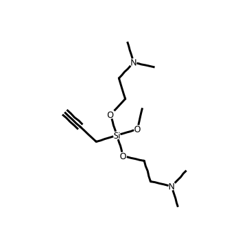 C#CC[Si](OC)(OCCN(C)C)OCCN(C)C